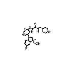 CC1(CO)CN(C2NC=Nc3sc(C(=O)NCC4CCNCC4)nc32)c2ccc(F)cc21